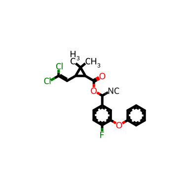 [C-]#[N+]C(OC(=O)C1C(C=C(Cl)Cl)C1(C)C)c1ccc(F)c(Oc2ccccc2)c1